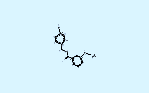 CC(C)(C)Oc1cccc(C(=O)NCc2ccc(F)cc2)c1